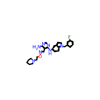 Nc1ncnc(Nc2ccc3c(ccn3Cc3cccc(F)c3)c2)c1/C=N/OCCN1CCCCC1